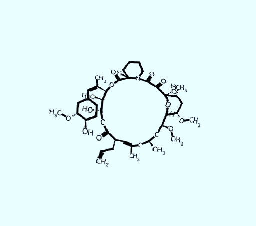 C=CC[C@@H]1/C=C(\C)C[C@H](C)C[C@H](OC)[C@H]2O[C@@](O)(C(=O)C(=O)N3CCCC[C@H]3C(=O)O[C@H](/C(C)=C\C3CC[C@@H](O)[C@H](OC)C3)[C@H](C)[C@@H](O)CC1=O)[C@H](C)C[C@@H]2OC